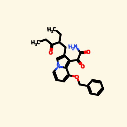 CCC(=O)C(CC)Cc1cn2cccc(OCc3ccccc3)c2c1C(=O)C(N)=O